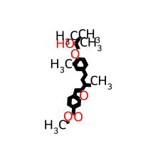 CCOC(=O)c1ccc2cc(C(CC)CCc3ccc(OCC(O)C(C)(C)C)c(C)c3)oc2c1